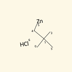 CC(C)(C)[CH2][Zn].Cl